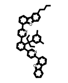 CCCCc1ccc2oc3c(-c4ccc(-c5cccc(-c6ccc(-c7cccc8c7oc7ccccc78)nc6)c5C(CC)(CC)c5cc(C)cc(C)c5)cn4)cccc3c2c1